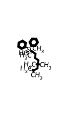 CC(C)CC(C)(C)CCCC(C)(C)[Si](O)(c1ccccc1)c1ccccc1